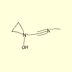 C[N+]#C[N+]1(O)CC1